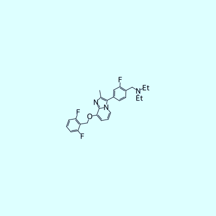 CCN(CC)Cc1ccc(-c2c(C)nc3c(OCc4c(F)cccc4F)cccn23)cc1F